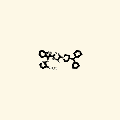 CCOC(=O)c1cccnc1Sc1c(C(=O)N[C@H](C)C(=O)N2CCC(C(c3ccccc3)c3ccccc3)CC2)[nH]c2ccccc12